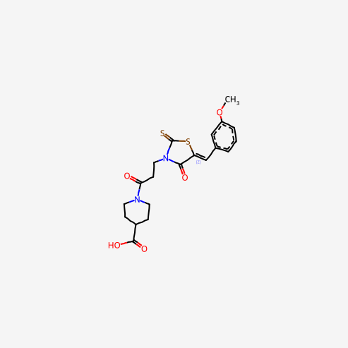 COc1cccc(/C=C2\SC(=S)N(CCC(=O)N3CCC(C(=O)O)CC3)C2=O)c1